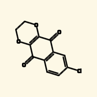 O=C1C2=C(OCCO2)C(=O)c2cc(Cl)ccc21